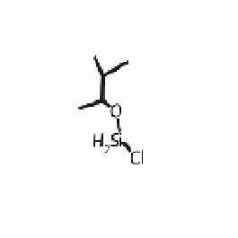 CC(C)C(C)O[SiH2]Cl